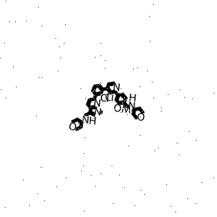 COc1cc(-c2nccc(-c3cccc(-c4ccc5c(CNC6CCOCC6)cn(C)c5n4)c3Cl)c2Cl)ccc1CNC1CCOCC1